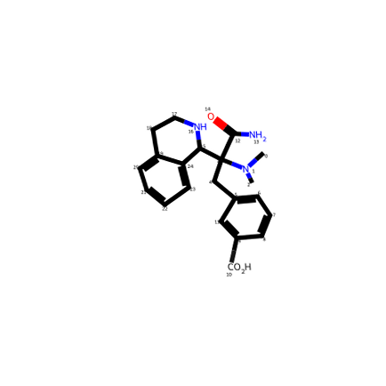 CN(C)C(Cc1cccc(C(=O)O)c1)(C(N)=O)C1NCCc2ccccc21